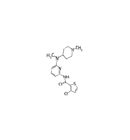 CN1CCC(N(C)c2cccc(NC(=O)c3sccc3Cl)n2)CC1